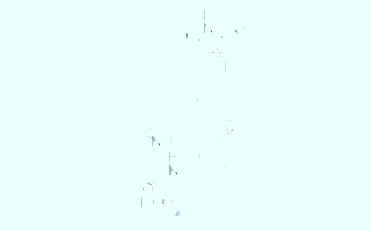 O=C1NC(=O)C(Cc2ccc(Oc3ccc(CC(NC(=O)C4CCCN4)C(=O)O)cc3)cc2F)S1